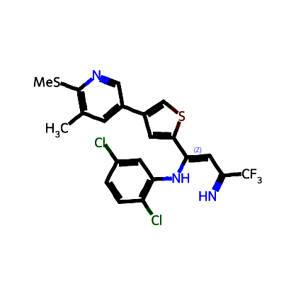 CSc1ncc(-c2csc(/C(=C/C(=N)C(F)(F)F)Nc3cc(Cl)ccc3Cl)c2)cc1C